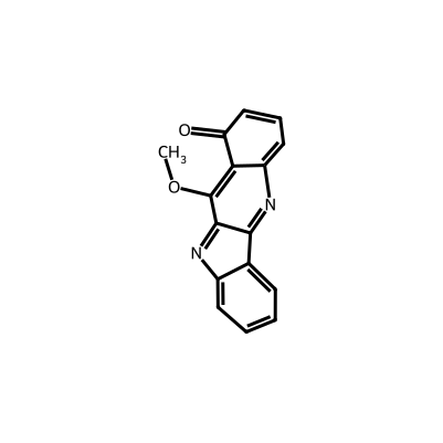 COc1c2c(nc3c1=Nc1ccccc1-3)=CC=CC2=O